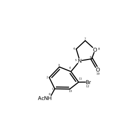 CC(=O)Nc1ccc(N2CCOC2=O)c(Br)c1